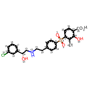 CCc1c(S(=O)(=O)c2ccc(CCNC[C@H](O)c3cccc(Cl)c3)cc2)ccc(C(=O)O)c1O